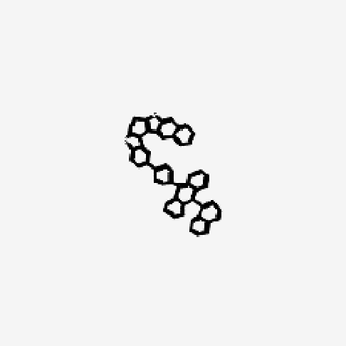 c1ccc2cc3c(cc2c1)sc1ccc2sc4ccc(-c5ccc(-c6c7ccccc7c(-c7cccc8ccccc78)c7ccccc67)cc5)cc4c2c13